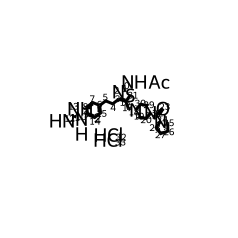 CC(=O)Nc1nc(CCc2ccc(NC(=N)N)cc2)c(CN2CCN(C(=O)N3CCCC3)CC2)s1.Cl.Cl